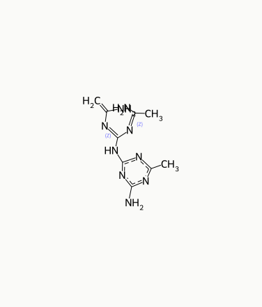 C=C(N)/N=C(\N=C(\C)N)Nc1nc(C)nc(N)n1